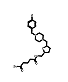 CC(C)(C)C(=O)CCCC(=O)NCC1CCC(CN2CCN(Cc3ccc(F)cc3)CC2)O1